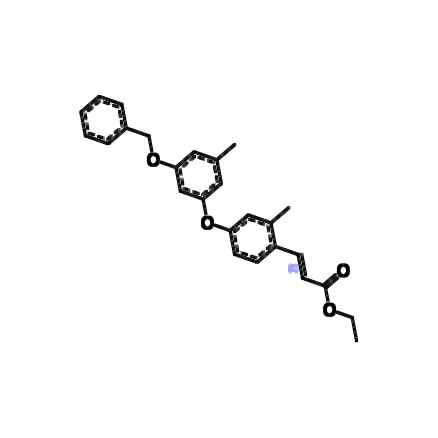 CCOC(=O)/C=C/c1ccc(Oc2cc(C)cc(OCc3ccccc3)c2)cc1C